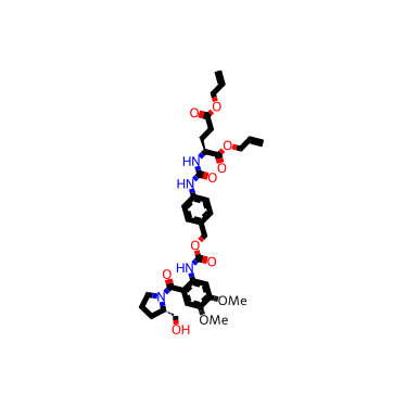 C=CCOC(=O)CC[C@H](NC(=O)Nc1ccc(COC(=O)Nc2cc(OC)c(OC)cc2C(=O)N2CCC[C@H]2CO)cc1)C(=O)OCC=C